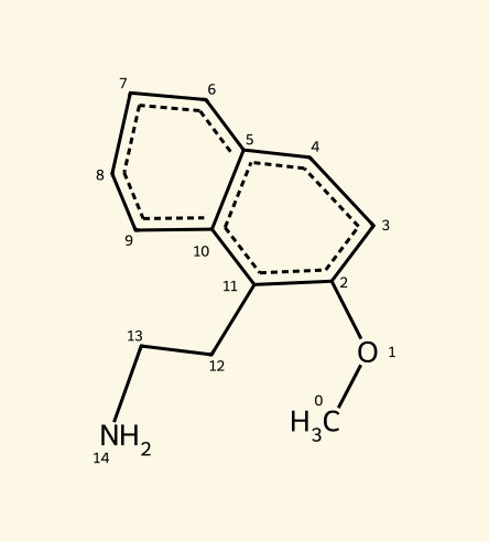 COc1ccc2ccccc2c1CCN